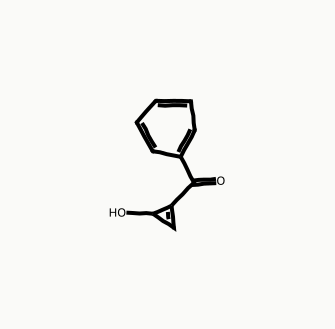 O=C(C1=CC1O)c1ccccc1